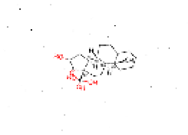 C[C@]12CCCCC1CC[C@@H]1[C@@H]2CC[C@]2(C(O)(O)O)C(=O)C(O)C[C@@H]12